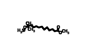 COC(=O)CCCCCCCCCCC(C)(C)O[SiH3]